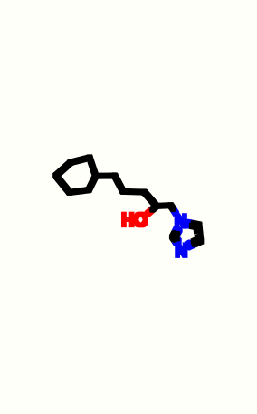 OC(CCCC1CCCCC1)Cn1ccnc1